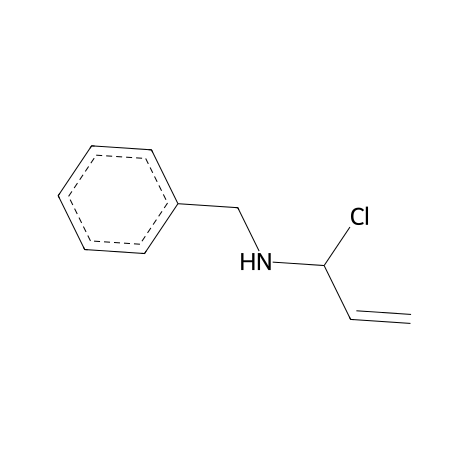 C=CC(Cl)NCc1ccccc1